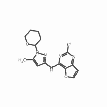 Cc1cc(Nc2nc(Cl)nc3ccoc23)nn1C1CCCCO1